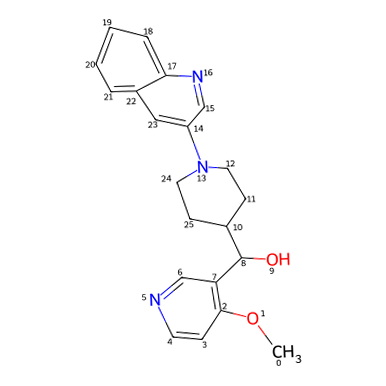 COc1ccncc1C(O)C1CCN(c2cnc3ccccc3c2)CC1